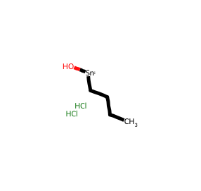 CCC[CH2][Sn][OH].Cl.Cl